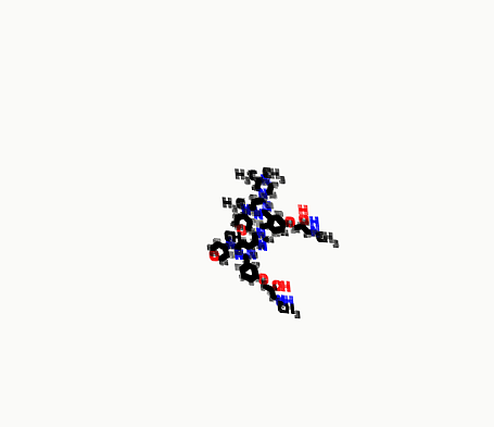 CNCC(O)COc1cccc(-c2nc(-c3cn(Cc4ccc(OCC(O)CNC)cc4-c4nc(N5CCN(C)[C@@H](C)C5)cc(N(C)C5CCOCC5)n4)cn3)cc(N(C)C3CCOCC3)n2)c1